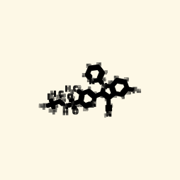 Cc1cc(-c2c(C#N)c3cc(F)ccc3n2-c2ccccn2)ncc1S(=O)(=O)N[C@@H](C)C(F)(F)F